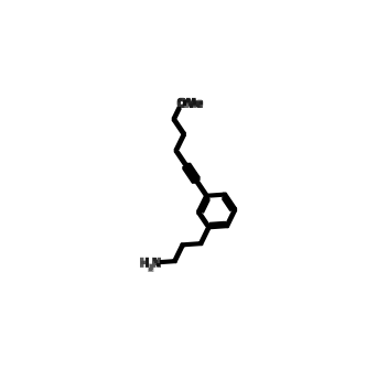 COCCCC#Cc1cccc(CCCN)c1